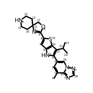 Cc1cc(-c2[nH]c3cc(C4=NC5(CCNCC5)CO4)sc3c2C(C)C)cn2ncnc12